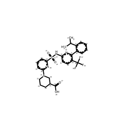 CC(C)c1ccccc1-c1nc(NS(=O)(=O)c2cccc(N3CCCC(C(=O)O)C3)n2)ccc1C(F)(F)F